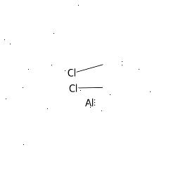 CCl.CCl.[Al]